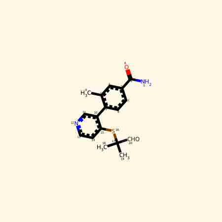 Cc1cc(C(N)=O)ccc1-c1cnccc1SC(C)(C)C=O